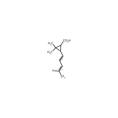 CC1(C)C(/C=C/C=C(\F)C(F)(F)F)C1C(=O)O